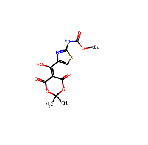 CC(C)(C)OC(=O)Nc1nc(C(O)=C2C(=O)OC(C)(C)OC2=O)cs1